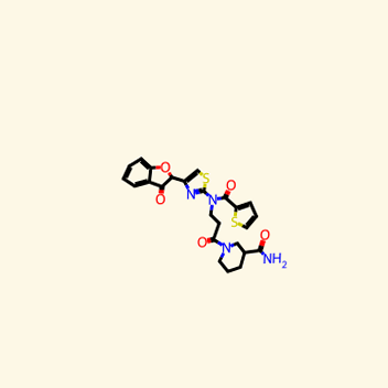 NC(=O)C1CCCN(C(=O)CCN(C(=O)c2cccs2)c2nc(C3Oc4ccccc4C3=O)cs2)C1